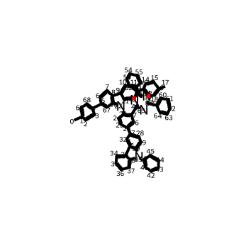 Cc1ccc(-c2ccc3c4ccc(-c5ccc(C)cc5)cc4n(-c4ccc(-c5ccc6c(c5)c5ccccc5n6-c5ccccc5)cc4-c4nc(-c5ccccc5)nc(-c5ccccc5)n4)c3c2)cc1